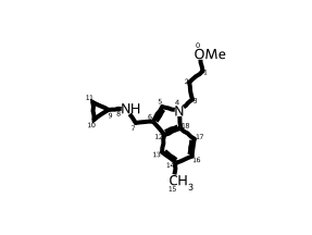 COCCCn1cc(CNC2CC2)c2cc(C)ccc21